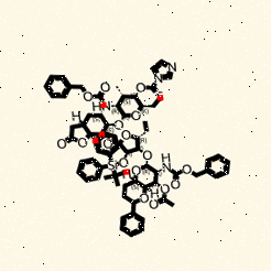 CC[C@H]1O[C@H](O[C@H]2[C@H](O[C@@H]3O[C@H](CC)[C@@H](O[C@H]4O[C@H]5CCC(c6ccccc6)O[C@H]5[C@H](OC(C)=O)[C@H]4NC(=O)OCc4ccccc4)[C@H]3O[Si](c3ccccc3)(c3ccccc3)C(C)(C)C)[C@H]3OC(=O)C[C@@H]3C[C@@H]2C)[C@H](NC(=O)OCc2ccccc2)[C@H](C)[C@@H]1OC(=S)n1ccnc1